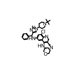 CC(C)(C)N1CCC(n2cc(C(Nc3cc(Cl)c4ncc(C#N)c(N[C@@H]5CCCOC5)c4c3)c3ccccc3)nn2)CC1